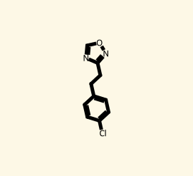 Clc1ccc(CCc2ncon2)cc1